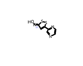 O/N=c1/cc(-c2cnccn2)ss1